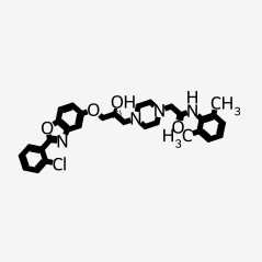 Cc1cccc(C)c1NC(=O)CN1CCN(C[C@H](O)COc2ccc3oc(-c4ccccc4Cl)nc3c2)CC1